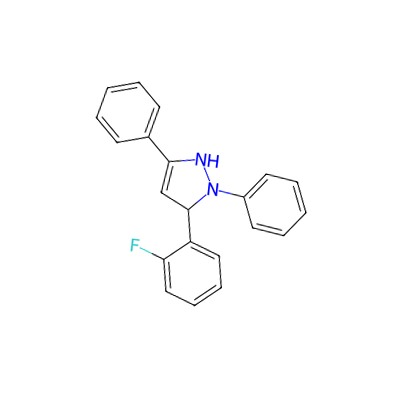 Fc1ccccc1C1C=C(c2ccccc2)NN1c1ccccc1